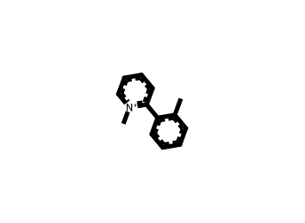 Cc1ccccc1-c1cccc[n+]1C